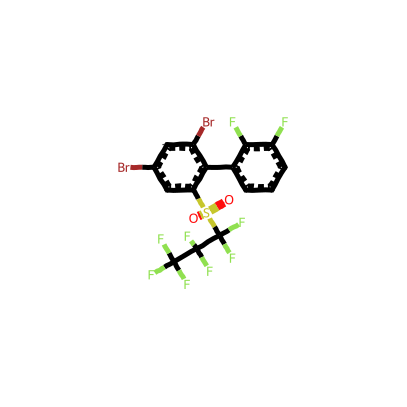 O=S(=O)(c1cc(Br)[c]c(Br)c1-c1cccc(F)c1F)C(F)(F)C(F)(F)C(F)(F)F